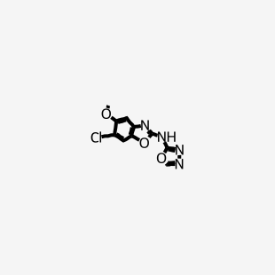 COc1cc2nc(Nc3nnco3)oc2cc1Cl